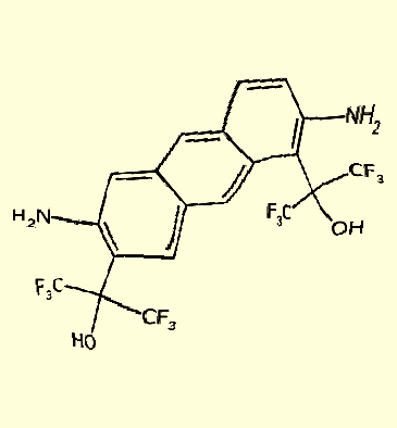 Nc1cc2cc3ccc(N)c(C(O)(C(F)(F)F)C(F)(F)F)c3cc2cc1C(O)(C(F)(F)F)C(F)(F)F